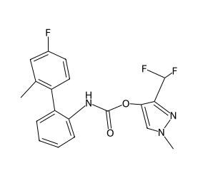 Cc1cc(F)ccc1-c1ccccc1NC(=O)Oc1cn(C)nc1C(F)F